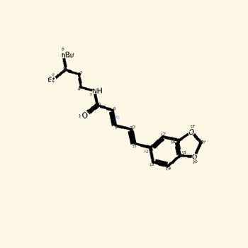 CCCCC(CC)CCNC(=O)/C=C/C=Cc1ccc2c(c1)OCO2